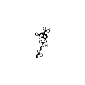 C=CC(=O)OCCNC(=O)OC1C2CC3C1OC(=O)C3C2C(=O)OC